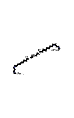 CCCCC/C=C\C/C=C\CCCCCCCC(=O)OCCNCCOC(=O)CCCCCCC/C=C\C/C=C\CCCCC